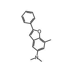 Cc1cc(N(C)C)cc2cc(-c3ccccc3)oc12